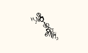 COc1ccc(C=CS(=O)(=O)/C(=C/C(C)=O)c2ccc(OC)c(N)c2)cc1N